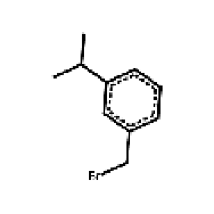 CC(C)c1cccc(CBr)c1